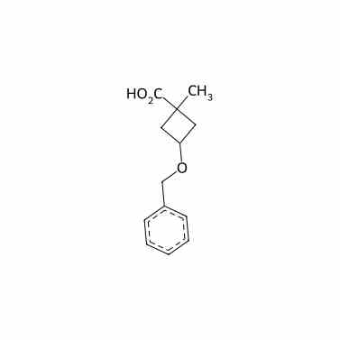 CC1(C(=O)O)CC(OCc2ccccc2)C1